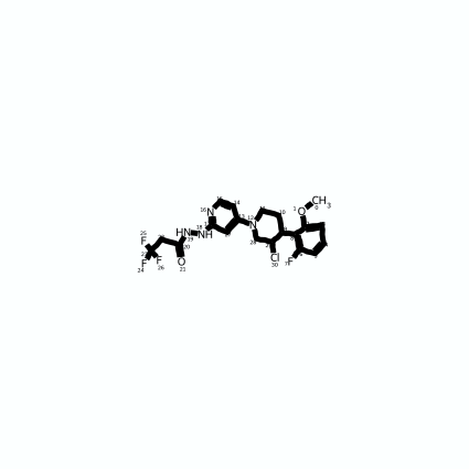 COc1cccc(F)c1C1CCN(c2ccnc(NNC(=O)CC(F)(F)F)c2)CC1Cl